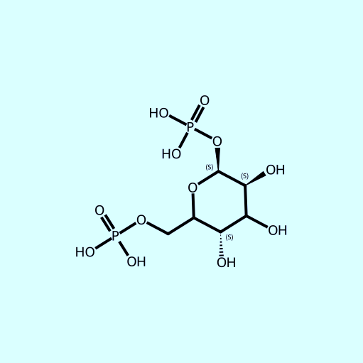 O=P(O)(O)OCC1O[C@@H](OP(=O)(O)O)[C@@H](O)C(O)[C@@H]1O